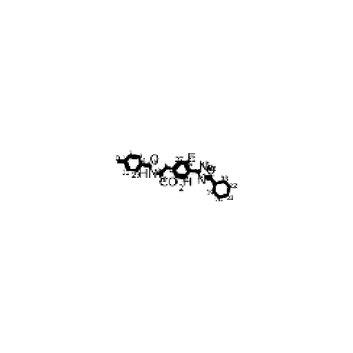 Cc1ccc(C(=O)NC(Cc2ccc(-c3noc(C4CCCCC4)n3)c(F)c2)C(=O)O)cc1